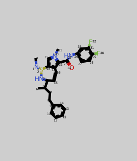 C/N=S1/NC(C(C)CCc2ccccc2)C=Cc2c1cn(C)c2C(=O)Nc1ccc(F)c(F)c1